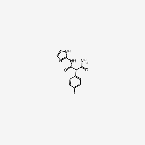 Cc1ccc(C(C(N)=O)C(=O)Nc2ncc[nH]2)cc1